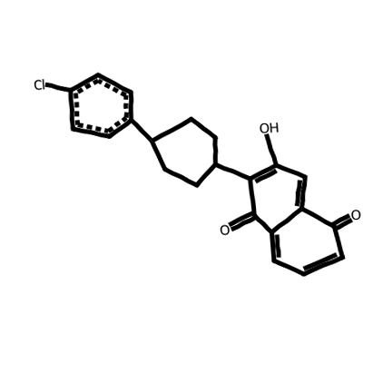 O=C1C=CC=C2C(=O)C(C3CCC(c4ccc(Cl)cc4)CC3)=C(O)C=C12